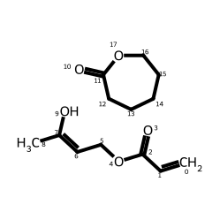 C=CC(=O)OCC=C(C)O.O=C1CCCCCO1